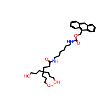 O=C(CCC(CCCO)(CCCO)CCCO)NCCCCCCNC(=O)OCc1c2ccccc2cc2ccccc12